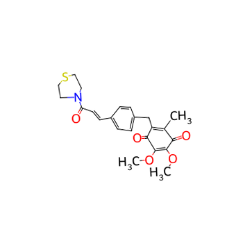 COC1=C(OC)C(=O)C(Cc2ccc(C=CC(=O)N3CCSCC3)cc2)=C(C)C1=O